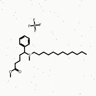 CCCCCCCCCCCC[S+](C)C(CCCC(=O)OC)c1ccccc1.F[B-](F)(F)F